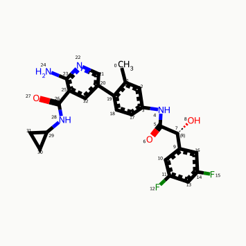 Cc1cc(NC(=O)[C@H](O)c2cc(F)cc(F)c2)ccc1-c1cnc(N)c(C(=O)NC2CC2)c1